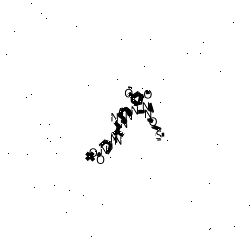 COc1cc(OC)cc(N(Cc2nccn2COCCS(C)(C)C)c2ccc3ncc(-c4cnn(C5CCN(C(=O)OC(C)(C)C)CC5)c4)nc3n2)c1